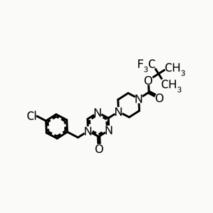 CC(C)(OC(=O)N1CCN(c2ncn(Cc3ccc(Cl)cc3)c(=O)n2)CC1)C(F)(F)F